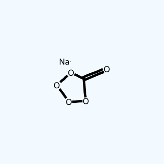 O=C1OOOO1.[Na]